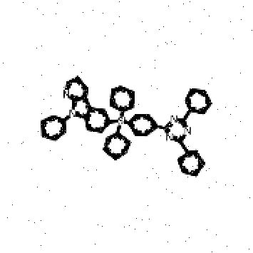 c1ccc(-c2nc(-c3ccccc3)nc(-c3ccc([Si](c4ccccc4)(c4ccccc4)c4ccc5c(c4)c4cccnc4n5-c4ccccc4)cc3)n2)cc1